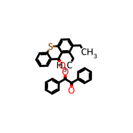 CCc1ccc2sc3ccccc3c(=O)c2c1CC.O=C(C(=O)c1ccccc1)c1ccccc1